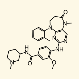 COc1cc(C(=O)NC2CCCN(C)C2)ccc1Nc1ncc2c(n1)N(c1ccccc1C)CCC(=O)N2C